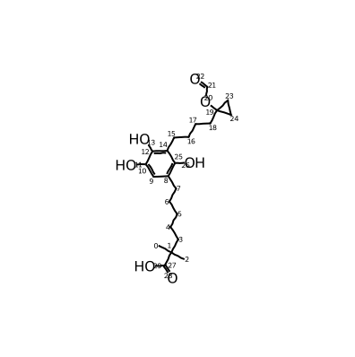 CC(C)(CCCCCc1cc(O)c(O)c(CCCCC2(OC=O)CC2)c1O)C(=O)O